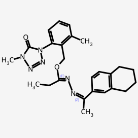 CC/C(=N\N=C(\C)c1ccc2c(c1)CCCC2)OCc1c(C)cccc1-n1nnn(C)c1=O